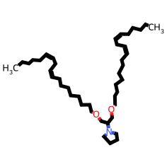 CCCCC/C=C\C/C=C\CCCCCCCCOCC(COCCCCCCCC/C=C\C/C=C\CCCCC)N1CCCC1